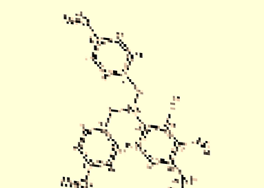 COc1ccc(CN(Cc2ccc(OC)cc2)c2ncc(NC(=O)O)c(C(C)=O)c2F)cc1